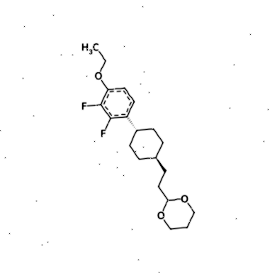 CCOc1ccc([C@H]2CC[C@H](CCC3OCCCO3)CC2)c(F)c1F